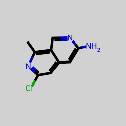 Cc1nc(Cl)cc2cc(N)ncc12